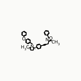 Cc1oc(-c2ccccc2)nc1CC#Cc1ccc([C@H]2CC[C@H](C)N2Cc2ccc(Oc3ccccc3)cc2)cc1